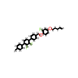 C=CCCCOc1ccc(OCc2ccc(-c3ccc(-c4ccc(C)cc4)c(F)c3F)cc2)c(F)c1